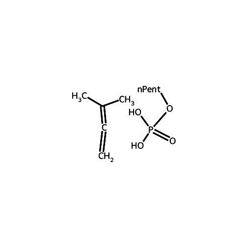 C=C=C(C)C.CCCCCOP(=O)(O)O